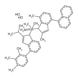 CC1=Cc2c(-c3cccc4ccccc34)ccc(C)c2[CH]1[Zr]([CH3])([CH3])(=[SiH2])[CH]1C(C(C)C)=Cc2c(-c3ccc(C)c(C)c3C)cccc21.Cl.Cl